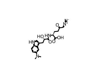 CN(C)c1ccc2[nH]cc(C[C@H](O)C(=O)N[C@@H](CCC(=O)C=[N+]=[N-])C(=O)O)c2c1